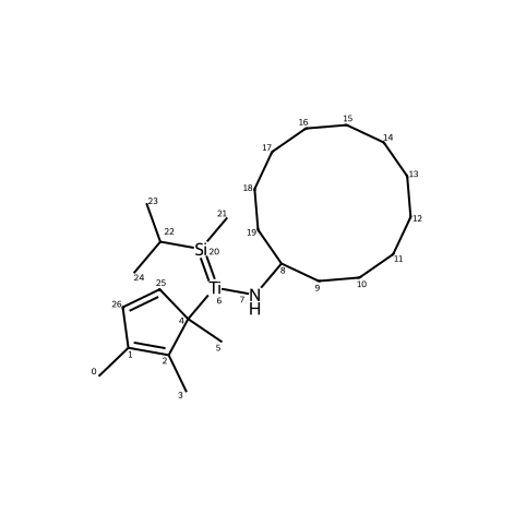 CC1=C(C)[C](C)([Ti]([NH]C2CCCCCCCCCCC2)=[Si](C)C(C)C)C=C1